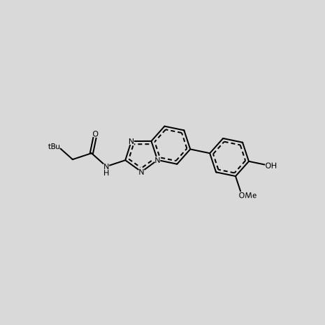 COc1cc(-c2ccc3nc(NC(=O)CC(C)(C)C)nn3c2)ccc1O